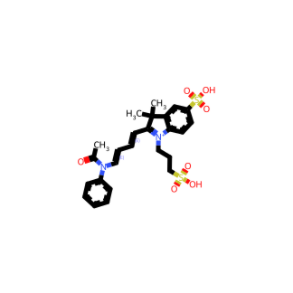 CC(=O)N(/C=C/C=C/C1=[N+](CCCS(=O)(=O)O)c2ccc(S(=O)(=O)O)cc2C1(C)C)c1ccccc1